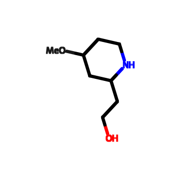 COC1CCNC(CCO)C1